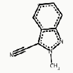 Cn1nc2cc[c]cc2c1C#N